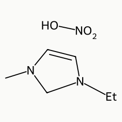 CCN1C=CN(C)C1.O=[N+]([O-])O